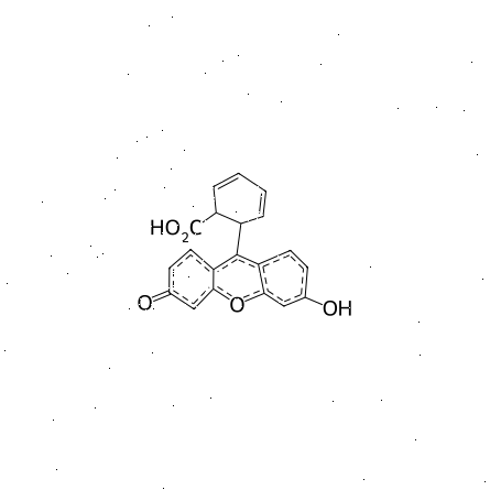 O=C(O)C1C=CC=CC1c1c2ccc(=O)cc-2oc2cc(O)ccc12